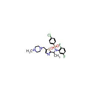 CC(c1ncc(CN2CCN(C)CC2)s1)N(c1cc(F)ccc1F)S(=O)(=O)c1ccc(Cl)cc1